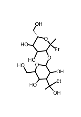 CCC(C)(O)C1C(O)C(CO)OC(OC2C(O)C(O)[C@H](CO)OC2(C)CC)C1O